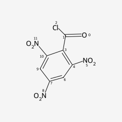 O=C(Cl)c1c([N+](=O)[O-])cc([N+](=O)[O-])cc1[N+](=O)[O-]